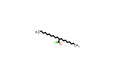 CCCCCCCCCCC(CCCCCCCC)C(=O)Cl